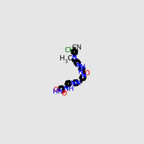 CC1CC2(CCN(c3cnc(C(=O)N4CCC(CN5CCN(c6cccc(NC7CCC(=O)NC7=O)c6)CC5)CC4)cn3)CC2)CN1c1ccc(C#N)c(Cl)c1